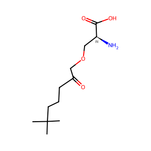 CC(C)(C)CCCC(=O)COC[C@H](N)C(=O)O